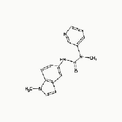 CN(C(=O)Nc1ccc2c(ccn2C)c1)c1cccnc1